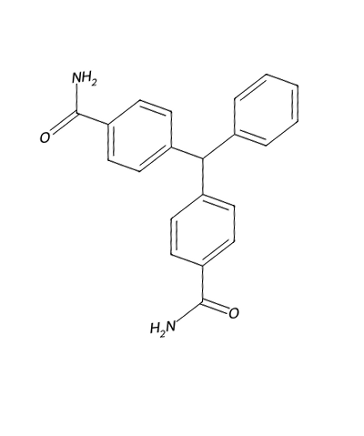 NC(=O)c1ccc(C(c2ccccc2)c2ccc(C(N)=O)cc2)cc1